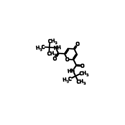 CC(C)(C)NC(=O)c1cc(=O)cc(C(=O)NC(C)(C)C)o1